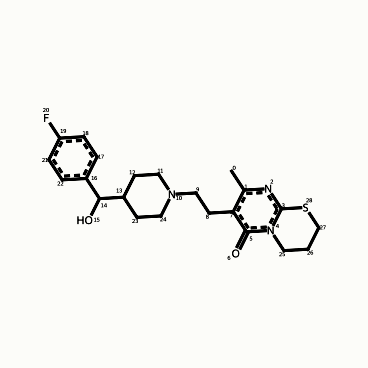 Cc1nc2n(c(=O)c1CCN1CCC(C(O)c3ccc(F)cc3)CC1)CCCS2